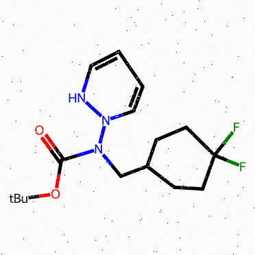 CC(C)(C)OC(=O)N(CC1CCC(F)(F)CC1)N1C=CC=CN1